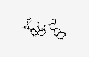 O=C1c2cc(NC3COC3)cnc2CCCN1CC(CN1CCc2ccccc2C1)C1CCC1